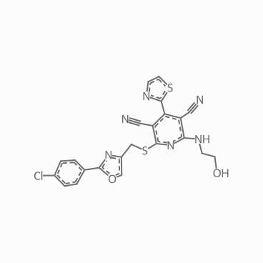 N#Cc1c(NCCO)nc(SCc2coc(-c3ccc(Cl)cc3)n2)c(C#N)c1-c1nccs1